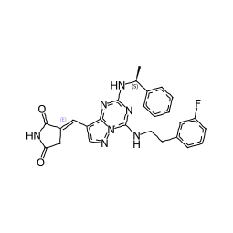 C[C@H](Nc1nc(NCCc2cccc(F)c2)n2ncc(/C=C3\CC(=O)NC3=O)c2n1)c1ccccc1